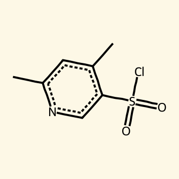 Cc1cc(C)c(S(=O)(=O)Cl)cn1